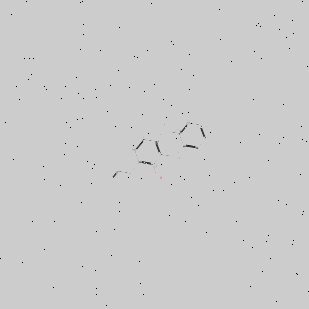 C=CCc1cccc(Sc2ccccc2C)c1O